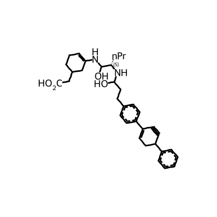 CCC[C@H](NC(O)CCc1ccc(C2=CCC(c3ccccc3)C#C2)cc1)C(O)NC1=CCCC(CC(=O)O)C1